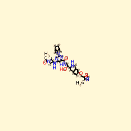 CC(=O)N1CC(Nc2cc(C(=O)NCC(O)[C@@H]3Cc4ccc(OCc5ocnc5C)cc4CN3)nc(N3CC4CCC(C4)C3)n2)C1